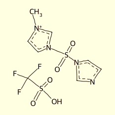 C[n+]1ccn(S(=O)(=O)n2ccnc2)c1.O=S(=O)(O)C(F)(F)F